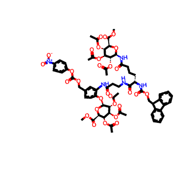 COC(=O)[C@H]1O[C@@H](NC(=O)CCC[C@H](NC(=O)OCC2c3ccccc3-c3ccccc32)C(=O)NCCC(=O)Nc2cc(COC(=O)Oc3ccc([N+](=O)[O-])cc3)ccc2O[C@@H]2O[C@H](C(=O)OC)[C@@H](OC(C)=O)[C@H](OC(C)=O)[C@H]2OC(C)=O)[C@H](OC(C)=O)[C@@H](OC(C)=O)[C@@H]1OC(C)=O